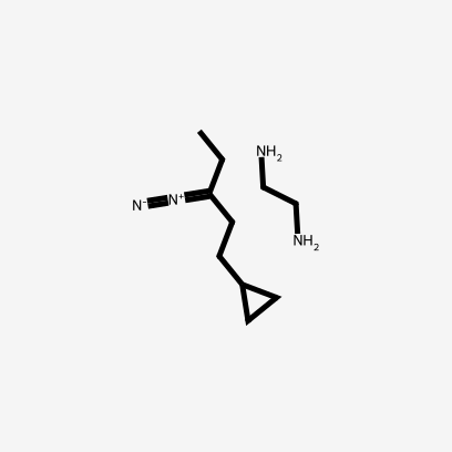 CCC(CCC1CC1)=[N+]=[N-].NCCN